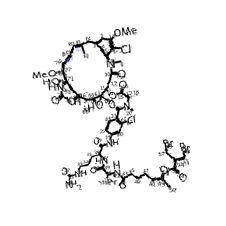 COc1cc2cc(c1Cl)N(C)C(=O)C[C@H](OC(=O)[C@H](C)N(C)C(=O)c1ccc(NC(=O)[C@H](CCCNC(N)=O)NC(=O)[C@@H](NC(=O)CCCCC(C)OC(=O)C(CBr)CBr)C(C)C)cc1Cl)[C@]1(C)O[C@H]1[C@H](C)[C@@H]1C[C@@](O)(NC(=O)O1)[C@H](OC)/C=C/C=C(\C)C2